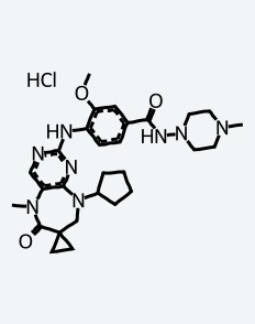 COc1cc(C(=O)NN2CCN(C)CC2)ccc1Nc1ncc2c(n1)N(C1CCCC1)CC1(CC1)C(=O)N2C.Cl